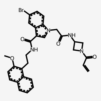 C=CC(=O)N1CC(NC(=O)Cn2cc(C(=O)NCCc3c(OC)ccc4ccccc34)c3cc(Br)ccc32)C1